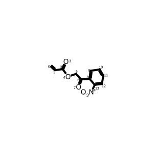 C=CC(=O)OCC(=O)c1ccccc1[N+](=O)[O-]